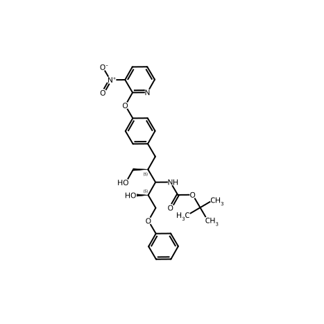 CC(C)(C)OC(=O)NC([C@@H](CO)Cc1ccc(Oc2ncccc2[N+](=O)[O-])cc1)[C@H](O)COc1ccccc1